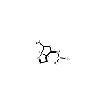 CC(C)C1C/C(=N/[S+]([O-])C(C)(C)C)c2ccnn21